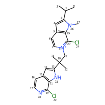 CC(C)c1cc2cc[n+](CC(C)(C)c3cc4ccnc(Cl)c4[nH]3)c(Cl)c2n1C